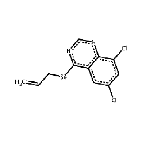 C=CC[Se]c1ncnc2c(Cl)cc(Cl)cc12